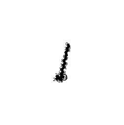 CCCCCCCCCCCCCCCC(=O)N(C)C(C)C